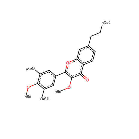 CCCCCCCCCCCCc1ccc2c(=O)c(OCCCC)c(-c3cc(OC)c(OCCCC)c(OC)c3)oc2c1